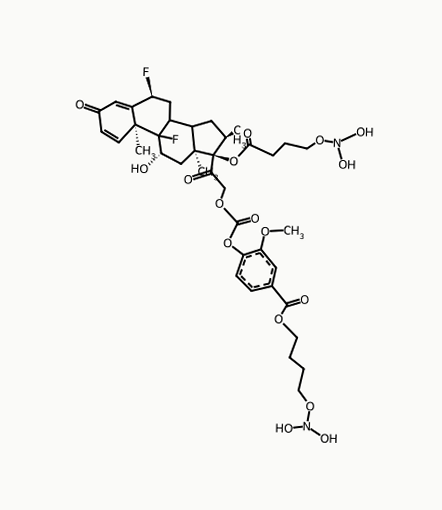 COc1cc(C(=O)OCCCCON(O)O)ccc1OC(=O)OCC(=O)[C@@]1(OC(=O)CCCON(O)O)[C@H](C)CC2C3C[C@H](F)C4=CC(=O)C=C[C@]4(C)C3(F)[C@@H](O)C[C@@]21C